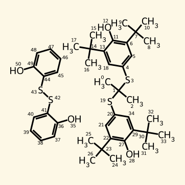 CC(C)(Sc1cc(C(C)(C)C)c(O)c(C(C)(C)C)c1)Sc1cc(C(C)(C)C)c(O)c(C(C)(C)C)c1.Oc1ccccc1SSc1ccccc1O